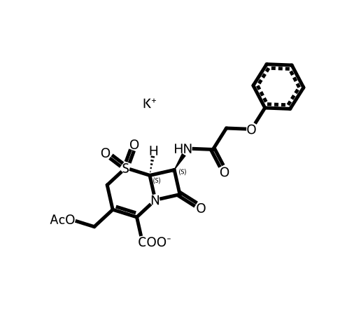 CC(=O)OCC1=C(C(=O)[O-])N2C(=O)[C@H](NC(=O)COc3ccccc3)[C@@H]2S(=O)(=O)C1.[K+]